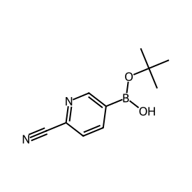 CC(C)(C)OB(O)c1ccc(C#N)nc1